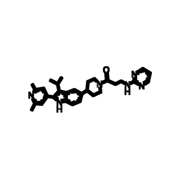 Cc1cc(-c2[nH]c3ccc(C4CCN(C(=O)CCNc5ncccn5)CC4)cc3c2C(C)C)cc(C)n1